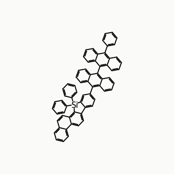 c1ccc(-c2c3ccccc3c(-c3c4ccccc4c(-c4ccc5c(c4)[Si](c4ccccc4)(c4ccccc4)c4c-5ccc5c4ccc4ccccc45)c4ccccc34)c3ccccc23)cc1